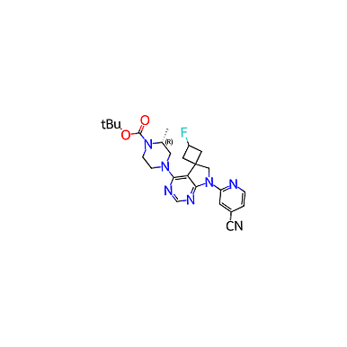 C[C@@H]1CN(c2ncnc3c2C2(CC(F)C2)CN3c2cc(C#N)ccn2)CCN1C(=O)OC(C)(C)C